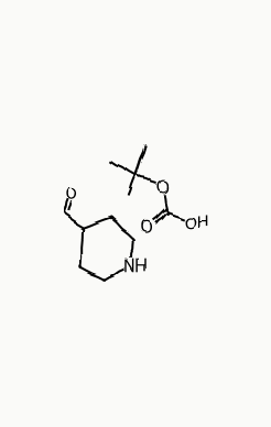 CC(C)(C)OC(=O)O.O=CC1CCNCC1